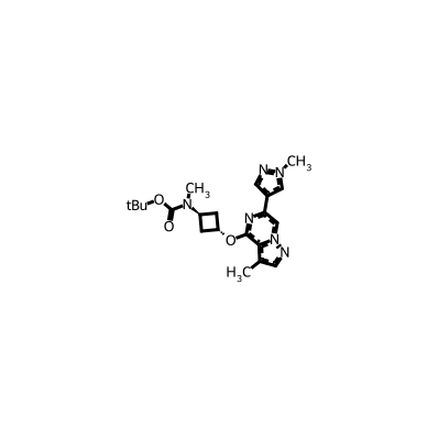 Cc1cnn2cc(-c3cnn(C)c3)nc(O[C@H]3C[C@H](N(C)C(=O)OC(C)(C)C)C3)c12